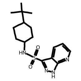 CC(C)(C)C1CCC(NS(=O)(=O)c2n[nH]c3ncccc23)CC1